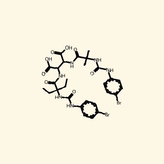 CCC(CC)(NC(=O)Nc1ccc(Br)cc1)C(=O)NC(C(=O)O)C(NC(=O)C(C)(C)NC(=O)Nc1ccc(Br)cc1)C(=O)O